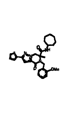 COc1ccccc1CN1C(=O)c2cc(-c3cccs3)nn2CC1(C)C(=O)NC1CCCCCC1